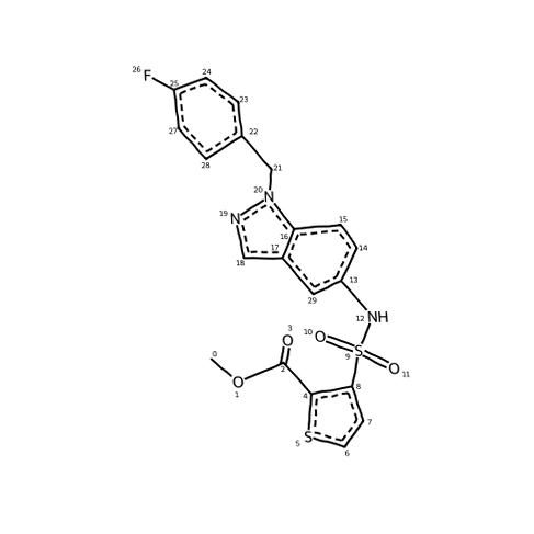 COC(=O)c1sccc1S(=O)(=O)Nc1ccc2c(cnn2Cc2ccc(F)cc2)c1